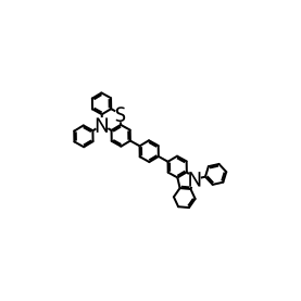 C1=Cc2c(c3cc(-c4ccc(-c5ccc6c(c5)Sc5ccccc5N6c5ccccc5)cc4)ccc3n2-c2ccccc2)CC1